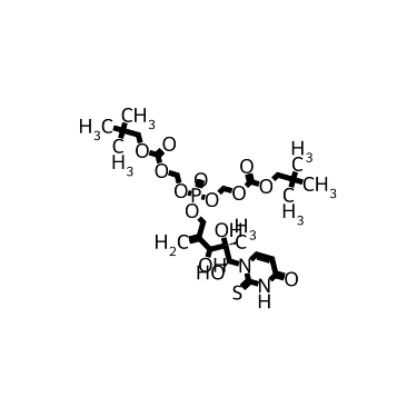 C=C(COP(=O)(OCOC(=O)OCC(C)(C)C)OCOC(=O)OCC(C)(C)C)C(O)[C@@](C)(O)[C@@H](O)n1ccc(=O)[nH]c1=S